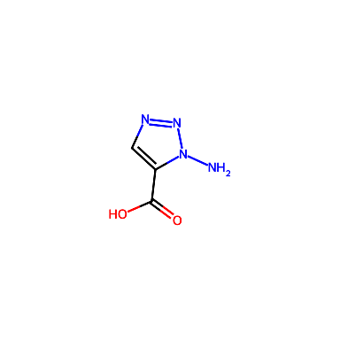 Nn1nncc1C(=O)O